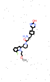 COCCCn1c(C2CCCN(C(=O)C[C@H](N)Cc3ccc(-c4cnc(O)nc4)cc3)C2)cc2cccc(F)c21